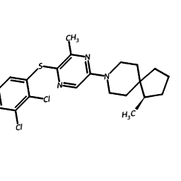 Cc1nc(N2CCC3(CCC[C@H]3C)CC2)cnc1Sc1cccc(Cl)c1Cl